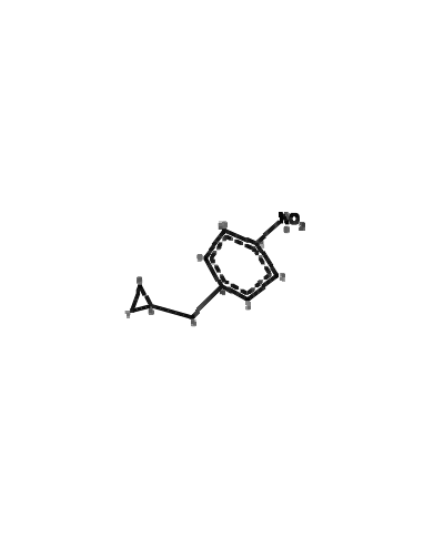 O=[N+]([O-])c1ccc(CC2CC2)cc1